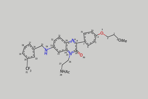 COCCOc1ccc(-c2nc3ccc(NCc4cccc(C(F)(F)F)c4)cc3n(CCNC(C)=O)c2=O)cc1